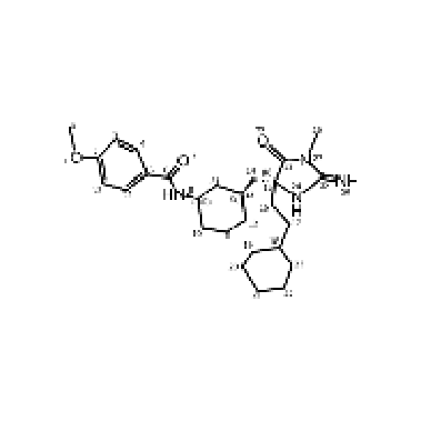 COc1ccc(C(=O)N[C@@H]2CCC[C@H](C[C@@]3(CCC4CCCCC4)NC(=N)N(C)C3=O)C2)cc1